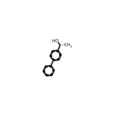 C[C@@H](O)c1ccc(-c2ccccc2)cc1